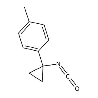 Cc1ccc(C2(N=C=O)CC2)cc1